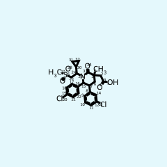 CC1(CC(=O)O)CC(c2cccc(Cl)c2)C(c2ccc(Cl)cc2)N(C(CS(C)(=O)=O)C2CC2)C1=O